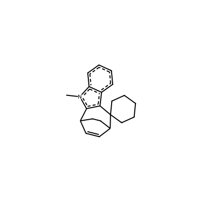 Cn1c2c(c3ccccc31)C1(CCCCC1)C1C=CC2CC1